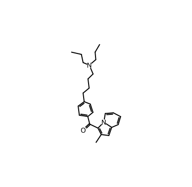 CCCN(CCC)CCCCc1ccc(C(=O)c2c(C)cc3ccccn23)cc1